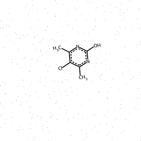 Cc1nc(O)nc(C)c1Cl